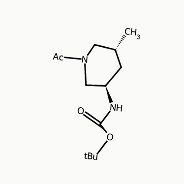 CC(=O)N1C[C@H](C)C[C@@H](NC(=O)OC(C)(C)C)C1